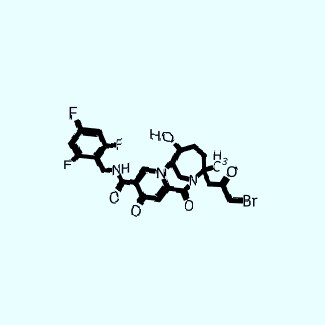 CC1(CC(=O)CBr)CCC(O)C2CN1C(=O)c1cc(=O)c(C(=O)NCc3c(F)cc(F)cc3F)cn12